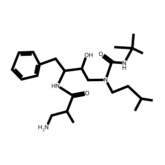 CC(C)CCN(CC(O)C(Cc1ccccc1)NC(=O)C(C)CN)C(=O)NC(C)(C)C